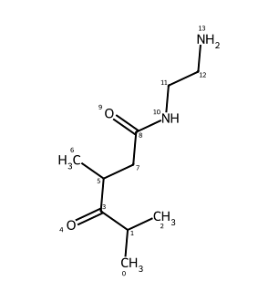 CC(C)C(=O)C(C)CC(=O)NCCN